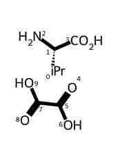 CC(C)[C@H](N)C(=O)O.O=C(O)C(=O)O